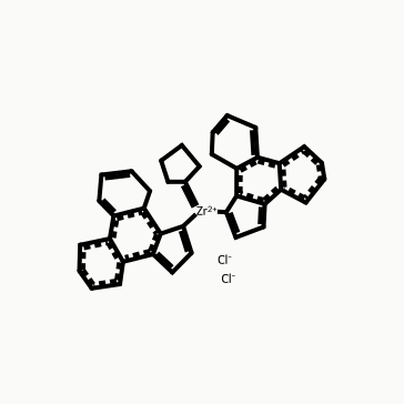 C1=CCc2c3c(c4ccccc4c2=C1)=CC=[C]3[Zr+2]([C]1=CC=c2c1c1c(c3ccccc23)=CC=CC1)=[C]1CCCC1.[Cl-].[Cl-]